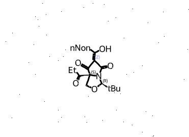 CCCCCCCCC/C(O)=C1/C(=O)N2[C@@H](C(C)(C)C)OC[C@]2(C(=O)CC)C1=O